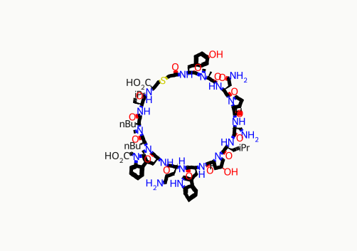 CCCC[C@H]1C(=O)N(C)[C@@H](CCCC)C(=O)N[C@@H](CC(C)C)C(=O)N[C@H](C(=O)O)CSCC(=O)N[C@@H](Cc2ccc(O)cc2)C(=O)N(C)[C@@H](C)C(=O)N[C@@H](CC(N)=O)C(=O)N2CCC[C@H]2C(=O)N[C@@H](CN)C(=O)N[C@@H](CC(C)C)C(=O)N2C[C@H](O)C[C@H]2C(=O)N[C@@H](Cc2c[nH]c3ccccc23)C(=O)N[C@@H](CCCN)C(=O)N[C@@H](Cc2cn(CC(=O)O)c3ccccc23)C(=O)N1C